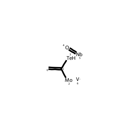 C=[C]([Mo])[TeH].[O]=[Nb].[V]